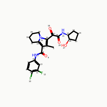 Cc1c(C(=O)Nc2ccc(F)c(F)c2)c2n(c1C(=O)C(=O)N[C@H]1CCC[C@H]1O)CCCC2